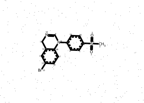 CS(=O)(=O)c1ccc(N2C=NCc3cc(Br)ccc32)cc1